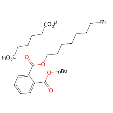 CCCCOC(=O)c1ccccc1C(=O)OCCCCCCCC(C)C.O=C(O)CCCCC(=O)O